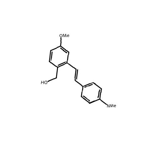 CNc1ccc(C=Cc2cc(OC)ccc2CO)cc1